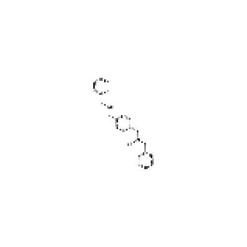 ClN(Cc1ccc(CNCc2ccccn2)cc1)Cc1ccccn1